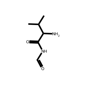 CC(C)C(N)C(=O)NC=O